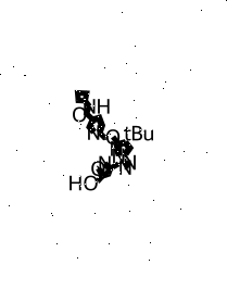 CC(C)(C)c1cc2nnc(-c3cc(CO)on3)n2nc1OCc1ccc(C(=O)NC2CCC2)cn1